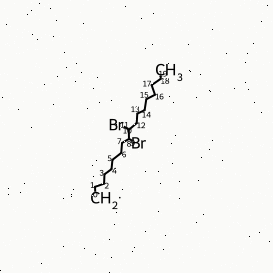 [CH2]CCCCCCCC(Br)C(Br)CCCCCCCC